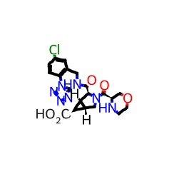 CC(=O)O.O=C(NCc1cc(Cl)ccc1-n1cnnn1)[C@@H]1[C@H]2C[C@H]2CN1C(=O)[C@H]1COCCN1